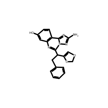 Nc1nc2c3ccc(O)cc3nc(C(Cc3ccccc3)C3=COCO3)n2n1